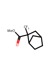 COC(=O)C1(C(F)(F)F)CC2CCC1C2